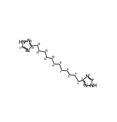 c1nc(CCCCCCCCCCCCc2nc[nH]n2)n[nH]1